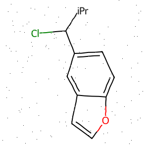 CC(C)C(Cl)c1ccc2occc2c1